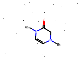 CCN1C=CN(C(C)(C)C)C(=O)C1